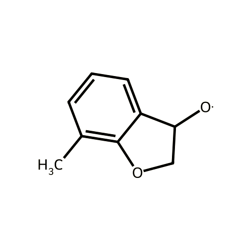 Cc1cccc2c1OCC2[O]